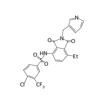 CCc1ccc(NS(=O)(=O)c2ccc(Cl)c(C(F)(F)F)c2)c2c1C(=O)N(Cc1cccnc1)C2=O